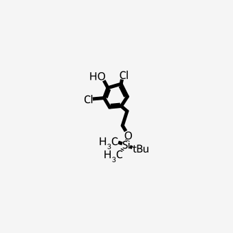 CC(C)(C)[Si](C)(C)OCCc1cc(Cl)c(O)c(Cl)c1